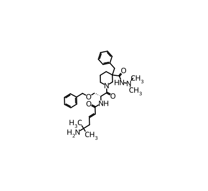 CN(C)NC(=O)C1(Cc2ccccc2)CCCN(C(=O)[C@@H](COCc2ccccc2)NC(=O)/C=C/CC(C)(C)N)C1